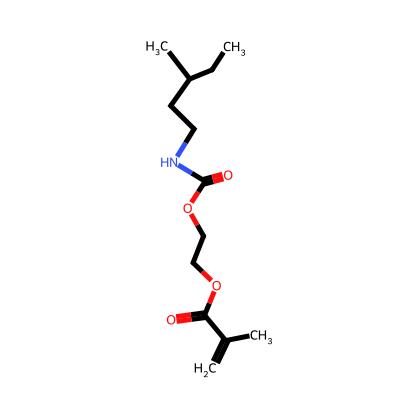 C=C(C)C(=O)OCCOC(=O)NCCC(C)CC